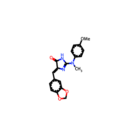 COc1ccc(N(C)C2=NC(=Cc3ccc4c(c3)OCO4)C(=O)N2)cc1